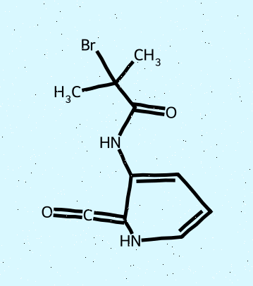 CC(C)(Br)C(=O)NC1=CC=CNC1=C=O